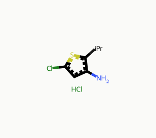 CC(C)c1sc(Cl)cc1N.Cl